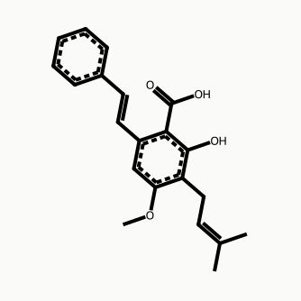 COc1cc(C=Cc2ccccc2)c(C(=O)O)c(O)c1CC=C(C)C